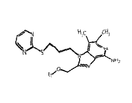 CCOCc1nc2c(N)nc(C)c(C)c2n1CCCSc1ncccn1